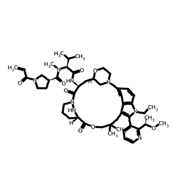 C=CC(=O)N1CC[C@H](C(=O)N(C)[C@H](C(=O)N[C@H]2C[C@@H]3CN(CCO3)c3ccc4c(c3)c(c(-c3cccnc3[C@H](C)OC)n4CC)CC(C)(C)COC(=O)[C@@H]3CCCN(N3)C2=O)C(C)C)C1